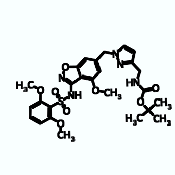 COc1cccc(OC)c1S(=O)(=O)Nc1noc2cc(Cn3ccc(CNC(=O)OC(C)(C)C)n3)cc(OC)c12